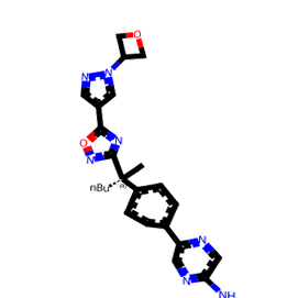 CCCC[C@](C)(c1ccc(-c2cnc(N)cn2)cc1)c1noc(-c2cnn(C3COC3)c2)n1